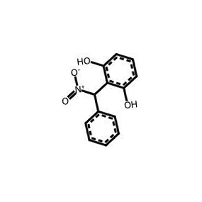 O=[N+]([O-])C(c1ccccc1)c1c(O)cccc1O